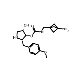 COc1ccc(C[C@H]2NC[C@H](O)[C@H]2OC(=O)NCC23CC(N)(C2)C3)cc1